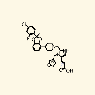 CC1(c2ccc(Cl)cc2F)Oc2cccc(C3CCN(CC4NC=C(/C=C/C(=O)O)N4C[C@H]4CCOC4)CC3)c2O1